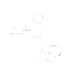 C=C(C)/N=C(\CN1C(C2CC3CC3C2)CC1(C)C)N1C2CC3CC24C(CC14)O3